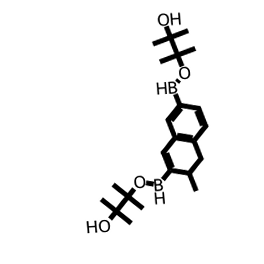 CC1Cc2ccc(BOC(C)(C)C(C)(C)O)cc2C=C1BOC(C)(C)C(C)(C)O